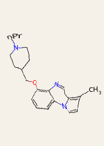 CCCN1CCC(COc2cccc3c2ncc2c(C)ccn23)CC1